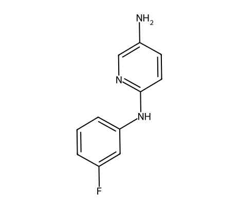 Nc1ccc(Nc2cccc(F)c2)nc1